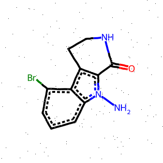 Nn1c2c(c3c(Br)cccc31)CCNC2=O